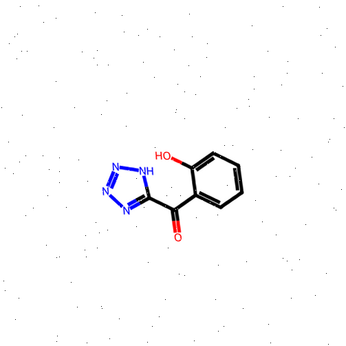 O=C(c1nnn[nH]1)c1ccccc1O